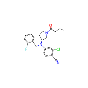 CCCC(=O)N1CC[C@H](N(Cc2ccccc2F)c2ccc(C#N)c(Cl)c2)C1